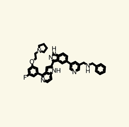 Fc1cc(OCCN2CCCC2)cc(-c2nccc3[nH]c(-c4n[nH]c5ccc(-c6cncc(CNCc7ccccc7)c6)cc45)cc23)c1